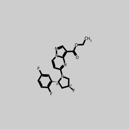 CCOC(=O)c1cnn2ccc(N3C[C@@H](F)C[C@@H]3c3cc(F)ccc3F)nc12